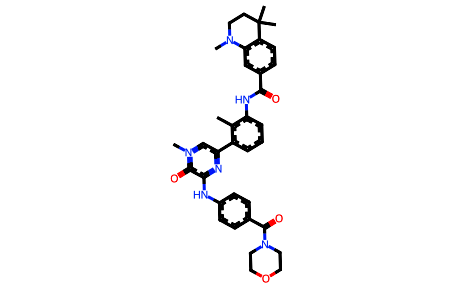 Cc1c(NC(=O)c2ccc3c(c2)N(C)CCC3(C)C)cccc1-c1cn(C)c(=O)c(Nc2ccc(C(=O)N3CCOCC3)cc2)n1